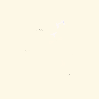 COc1ccc(CN(c2nncs2)S(=O)(=O)c2ccc(Oc3cc(C)ccc3OC)c(C#N)c2)c(OC)c1